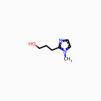 Cn1ccnc1CCCO